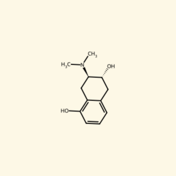 CN(C)[C@@H]1Cc2c(O)cccc2C[C@H]1O